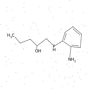 CCCC(O)CPc1ccccc1N